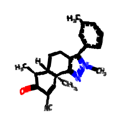 [C-]#[N+]C1=C[C@]2(C)c3nn(C)c(-c4cccc(C)c4)c3CC[C@H]2[C@H](C)C1=O